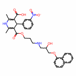 CC1=C(C(=O)O)C(c2cccc([N+](=O)[O-])c2)C(C(=O)OCCCNCC(O)COc2cccc3ccccc23)=C(C)N1